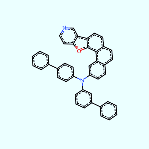 c1ccc(-c2ccc(N(c3cccc(-c4ccccc4)c3)c3ccc4ccc5ccc6c7cnccc7oc6c5c4c3)cc2)cc1